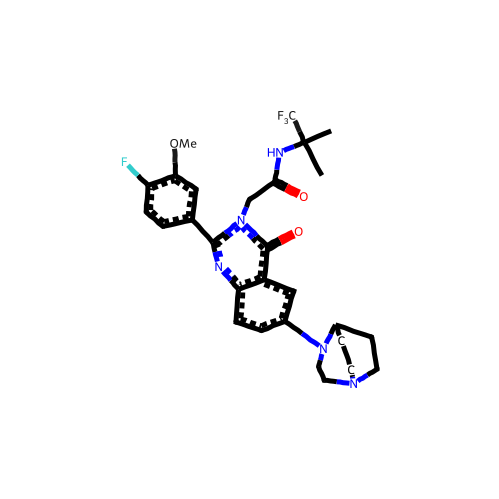 COc1cc(-c2nc3ccc(N4CCN5CCC4CC5)cc3c(=O)n2CC(=O)NC(C)(C)C(F)(F)F)ccc1F